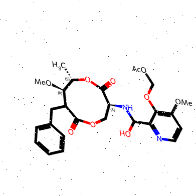 COc1ccnc(C(O)N[C@H]2COC(=O)C(Cc3ccccc3)[C@@H](OC)[C@H](C)OC2=O)c1OCOC(C)=O